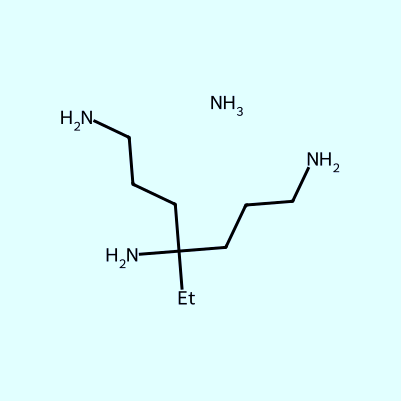 CCC(N)(CCCN)CCCN.N